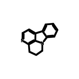 c1ccc2c(c1)c1ccnc3c1n2CCC3